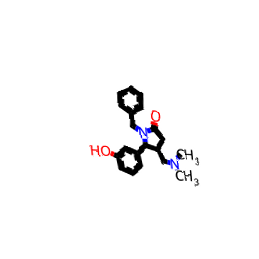 CN(C)CC1CC(=O)N(Cc2ccccc2)C1c1cccc(O)c1